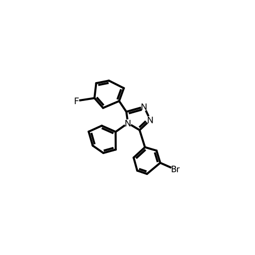 Fc1cccc(-c2nnc(-c3cccc(Br)c3)n2-c2ccccc2)c1